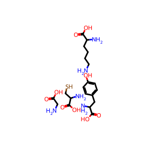 NC(CS)C(=O)O.NC(Cc1ccc(O)cc1)C(=O)O.NCC(=O)O.NCCCCC(N)C(=O)O